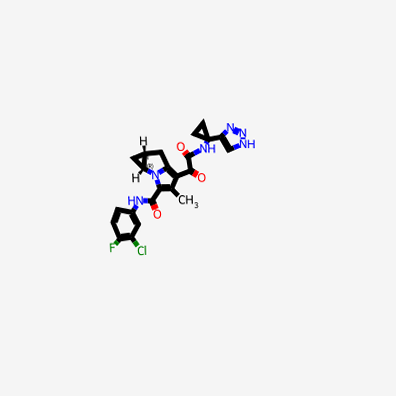 Cc1c(C(=O)C(=O)NC2(c3c[nH]nn3)CC2)c2n(c1C(=O)Nc1ccc(F)c(Cl)c1)[C@@H]1C[C@@H]1C2